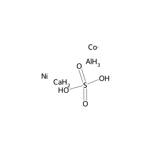 O=S(=O)(O)O.[AlH3].[CaH2].[Co].[Ni]